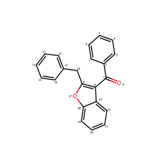 O=C(c1ccccc1)c1c(Cc2ccccc2)oc2ccccc12